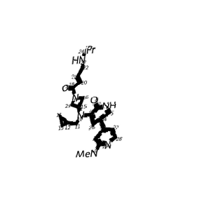 CNc1cc(-c2c[nH]c(=O)c(N(CC3CC3)C3CN(C(=O)C=CCNC(C)C)C3)c2)ccn1